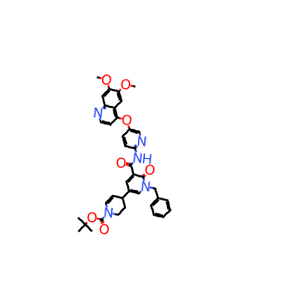 COc1cc2nccc(Oc3ccc(NC(=O)c4cc(C5C=CN(C(=O)OC(C)(C)C)CC5)cn(Cc5ccccc5)c4=O)nc3)c2cc1OC